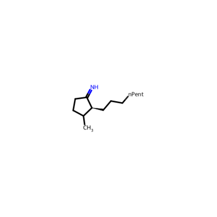 CCCCCCCC[C@@H]1C(=N)CCC1C